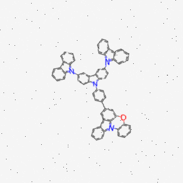 c1ccc2c(c1)Oc1cc(-c3ccc(-n4c5ccc(-n6c7ccccc7c7ccccc76)cc5c5cc(-n6c7ccccc7c7ccccc76)ccc54)cc3)cc3c4ccccc4n-2c13